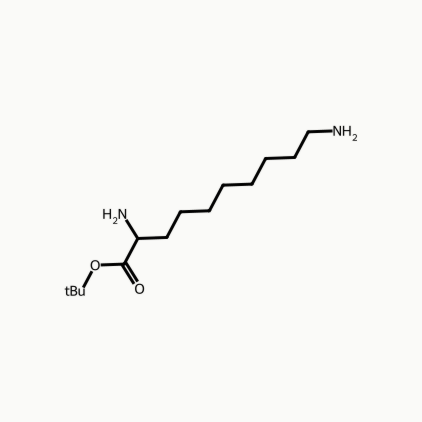 CC(C)(C)OC(=O)C(N)CCCCCCCCN